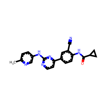 Cc1ccc(Nc2nccc(-c3ccc(NC(=O)C4CC4)c(C#N)c3)n2)cn1